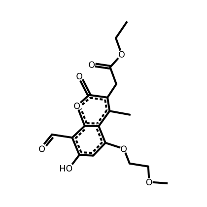 CCOC(=O)Cc1c(C)c2c(OCCOC)cc(O)c(C=O)c2oc1=O